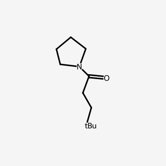 CC(C)(C)CCC(=O)N1CCCC1